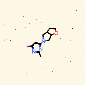 Cc1nc(I)cc(N2CC3CCOC3C2)n1